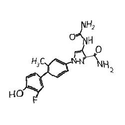 Cc1cc(-n2cc(NC(N)=O)c(C(N)=O)n2)ccc1-c1ccc(O)c(F)c1